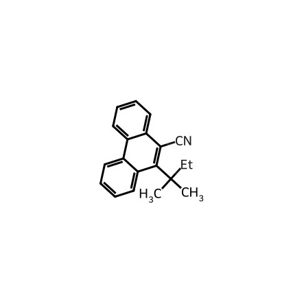 CCC(C)(C)c1c(C#N)c2ccccc2c2ccccc12